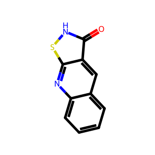 O=c1[nH]sc2nc3ccccc3cc12